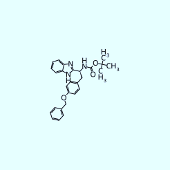 CC(C)(C)OC(=O)N[C@@H](Cc1ccc(OCc2ccccc2)cc1)c1nc2ccccc2[nH]1